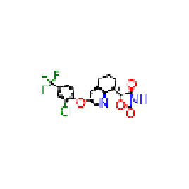 O=C1NC(=O)C([C@@H]2CCCc3cc(Oc4ccc(C(F)(F)F)cc4Cl)cnc32)O1